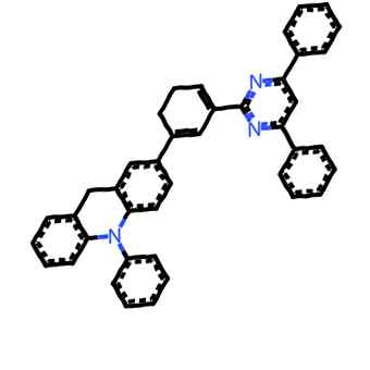 C1=C(c2ccc3c(c2)Cc2ccccc2N3c2ccccc2)CCC=C1c1nc(-c2ccccc2)cc(-c2ccccc2)n1